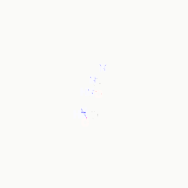 O=C(N[C@H]1CC[C@H](c2n[nH]c(=O)c3ccccc32)CC1)c1ccc(CCN2CCCC2)nc1